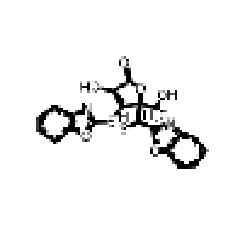 CC(O)C1(C(S)c2nc3ccccc3o2)OC(=O)C(O)=C1Sc1nc2ccccc2o1